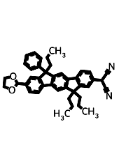 CCCC1(CCC)c2cc(C(C#N)C#N)ccc2-c2cc3c(cc21)-c1ccc(C2OCCO2)cc1C3(CCC)c1ccccc1